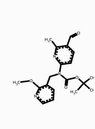 COc1ncccc1CN(C(=O)OC(C)(C)C)c1ccc(C=O)c(C)n1